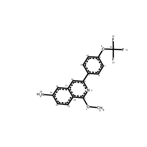 COc1nc(-c2ccc(OC(F)(F)F)cc2)cc2cc(N)ccc12